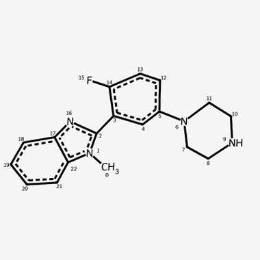 Cn1c(-c2cc(N3CCNCC3)ccc2F)nc2ccccc21